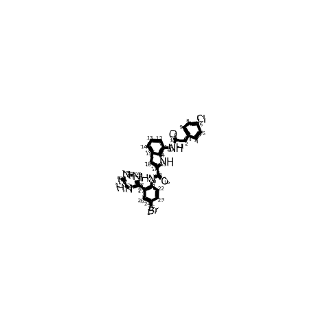 O=C(Cc1ccc(Cl)cc1)Nc1cccc2cc(C(=O)Nc3ccc(Br)cc3-c3nnn[nH]3)[nH]c12